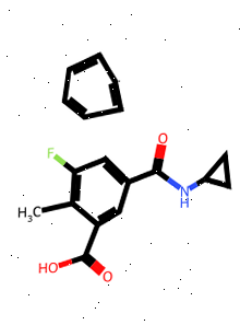 Cc1c(F)[c]c(C(=O)NC2CC2)cc1C(=O)O.[c]1ccccc1